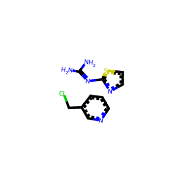 ClCc1cccnc1.NC(N)=Nc1nccs1